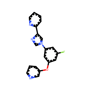 Fc1cc(Oc2cccnc2)cc(-n2cnc(-c3ccccn3)c2)c1